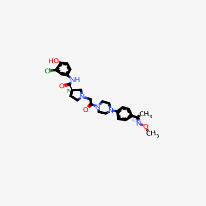 CO/N=C(\C)c1ccc(N2CCN(C(=O)CN3CC[C@@H](C(=O)Nc4ccc(O)c(Cl)c4)C3)CC2)cc1